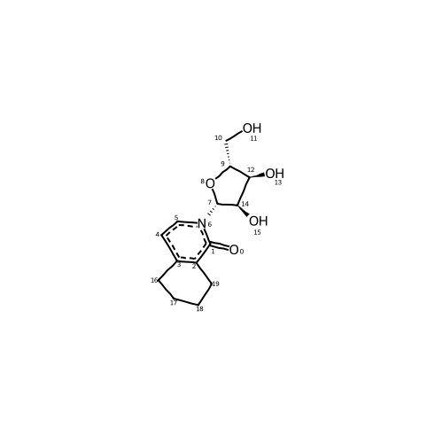 O=c1c2c(ccn1[C@@H]1O[C@H](CO)[C@@H](O)[C@H]1O)CCCC2